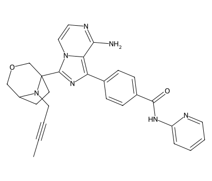 CC#CCN1C2CCC1(c1nc(-c3ccc(C(=O)Nc4ccccn4)cc3)c3c(N)nccn13)COC2